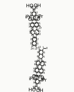 C=Cc1cc2cc3c(cc2cc1CCc1cc2cc4c(cc2cc1C)C1=CC=C2c5ccc6c7c(cc(C)c(c57)C5=CC=C4C1C25)C(=O)N(c1c(C(C)C)cc(C(CO)CO)cc1C(C)C)C6=O)-c1ccc2c4ccc5c6c(ccc(c7ccc-3c1c72)c64)C(=O)N(c1c(C(C)C)cc(C(CO)CO)cc1C(C)C)C5=O